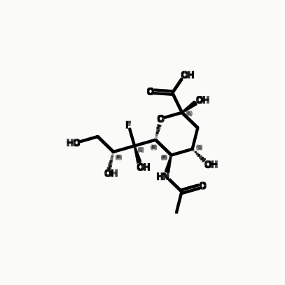 CC(=O)N[C@H]1[C@H]([C@@](O)(F)[C@H](O)CO)O[C@](O)(C(=O)O)C[C@@H]1O